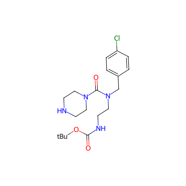 CC(C)(C)OC(=O)NCCN(Cc1ccc(Cl)cc1)C(=O)N1CCNCC1